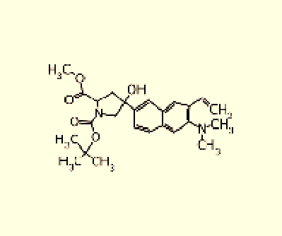 C=Cc1cc2cc(C3(O)CC(C(=O)OC)N(C(=O)OC(C)(C)C)C3)ccc2cc1N(C)C